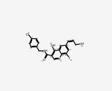 O=C(NCc1ccc(Cl)cc1)c1cnc2c(F)cc(/C=C\CO)cc2c1O